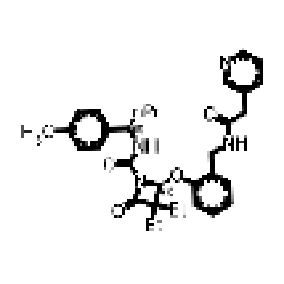 CCC[C@@H](NC(=O)N1C(=O)C(CC)(CC)[C@@H]1Oc1ccccc1CNC(=O)Cc1cccnc1)c1ccc(C)cc1